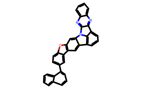 c1ccc2c(-c3ccc4oc5cc6c(cc5c4c3)c3cccc4c5nc7ccccc7nc5n6c34)cccc2c1